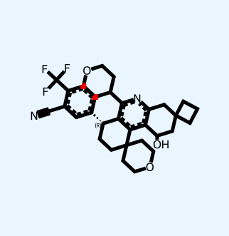 N#Cc1cc([C@H]2CCC3(CCOCC3)c3c4c(nc(C5CCOCC5)c32)CC2(CCC2)CC4O)ccc1C(F)(F)F